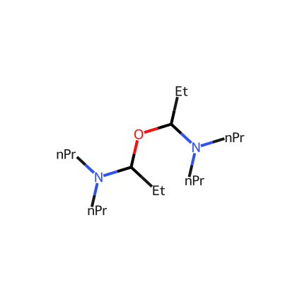 CCCN(CCC)C(CC)OC(CC)N(CCC)CCC